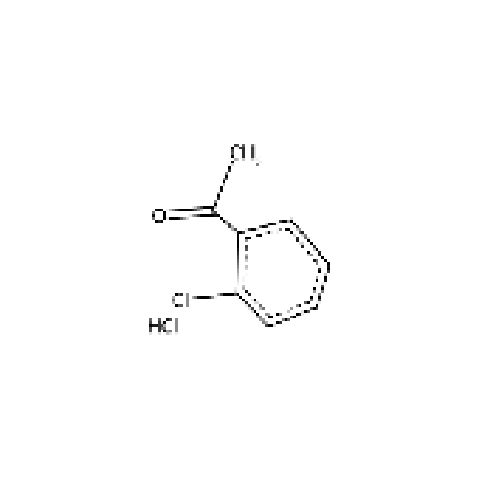 CC(=O)c1ccccc1Cl.Cl